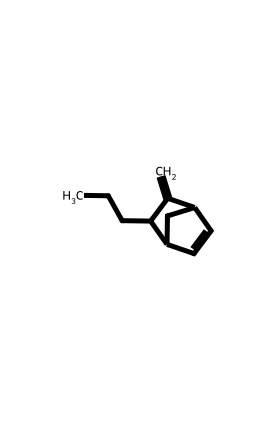 C=C1C2C=CC(C2)C1CCC